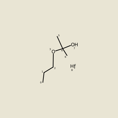 CCCOC(C)(C)O.[Hf]